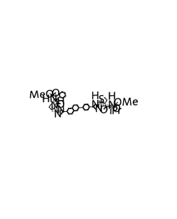 COC(=O)N[C@H](C(=O)C1CCS[C@H]1c1ncc(-c2ccc(-c3ccc4cc(-c5cnc([C@@H]6CCCN6C(=O)[C@H](NC(=O)OC)c6ccccc6)[nH]5)ccc4c3)cc2)[nH]1)C(C)C